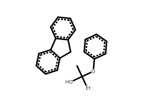 CCC(C)(O)Oc1ccccc1.c1ccc2c(c1)Cc1ccccc1-2